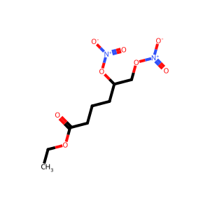 CCOC(=O)CCCC(CO[N+](=O)[O-])O[N+](=O)[O-]